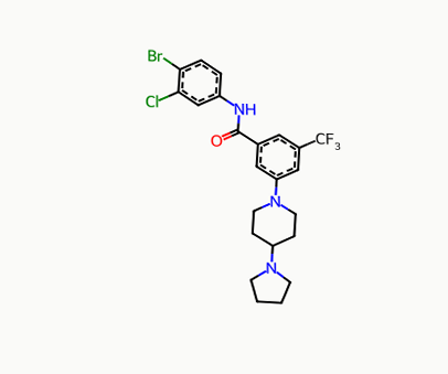 O=C(Nc1ccc(Br)c(Cl)c1)c1cc(N2CCC(N3CCCC3)CC2)cc(C(F)(F)F)c1